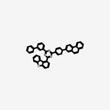 C1=CC(c2ccc3c(ccc4ccccc43)c2)CC=C1c1nc(-c2cccc(-c3ccccc3)c2)nc(-c2cccc3oc4ccccc4c23)n1